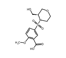 COc1ccc(S(=O)(=O)N2CCOC[C@@H]2CO)cc1C(=O)O